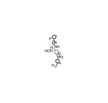 Cc1ccc(N2CC3(CCC(CNc4ccn(-c5ccccc5F)n4)CC3)OC2=O)cn1.Cl.Cl